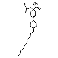 CCCCCCCCCC[C@H]1CC[C@H](C2=CCC(CC(F)F)(C(=O)O)C=C2)CC1